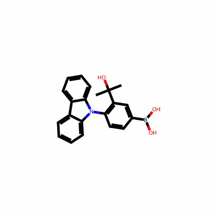 CC(C)(O)c1cc(B(O)O)ccc1-n1c2ccccc2c2ccccc21